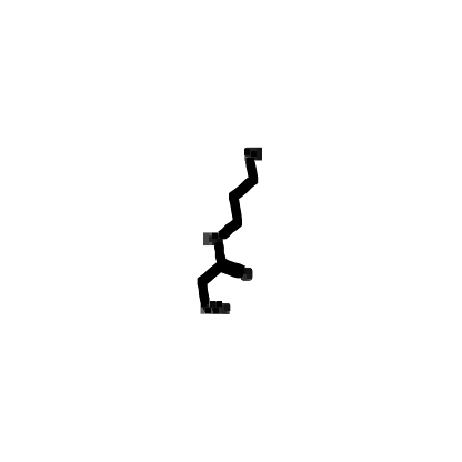 CNCC(=O)NCCCS